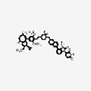 CCc1cc2c(cc1C1CC1)/C(c1cc(OC)c(CCC3CCC(CC4CCc5cc(-c6cccc7c6n(C)c(=O)n7C6CCC(=O)NC6=O)ccc5C4)C(F)(F)C3)c(OC)c1)=C\C(C)CCC2=O